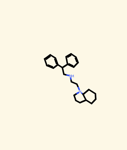 c1ccc(C(CNCCN2CCCC3CCCCC32)c2ccccc2)cc1